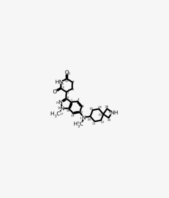 CN(c1ccc2c(C3CCC(=O)NC3=O)nn(C)c2c1)C1CCC2(CC1)CNC2